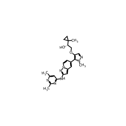 Cc1cc(Nc2cc3cc(-c4c(OC[C@H](O)C5(C)CC5)cnn4C)ccn3n2)nc(C)n1